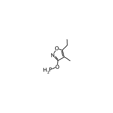 CCc1onc(OP)c1C